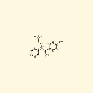 CN(C)C/C=C(\c1ccccc1)C(O)c1ccc(F)cc1